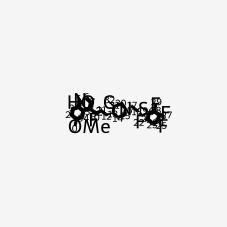 COc1ccc2nccc([C@@H](F)CC[C@@H]3CCN(CCSc4c(F)cc(F)c(F)c4F)C[C@@H]3C(=O)O)c2c1